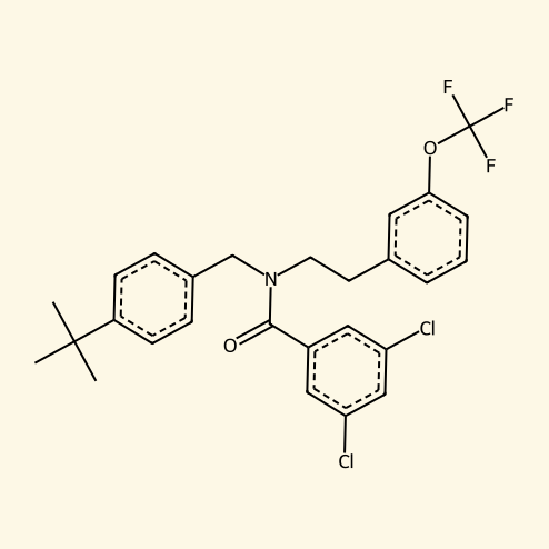 CC(C)(C)c1ccc(CN(CCc2cccc(OC(F)(F)F)c2)C(=O)c2cc(Cl)cc(Cl)c2)cc1